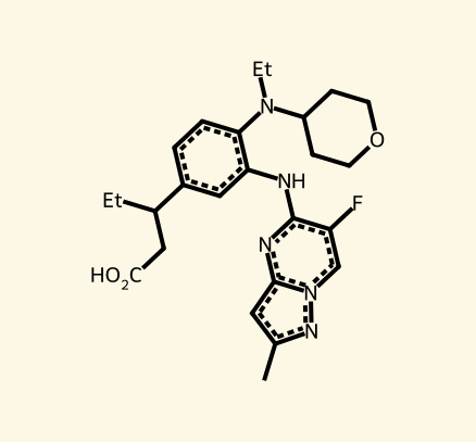 CCC(CC(=O)O)c1ccc(N(CC)C2CCOCC2)c(Nc2nc3cc(C)nn3cc2F)c1